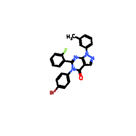 Cc1cccc(-n2ncc3c(=O)n(-c4ccc(Br)cc4)c(-c4ccccc4F)nc32)c1